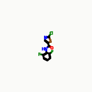 O=C(Nc1c(F)cccc1F)c1cnc(Cl)s1